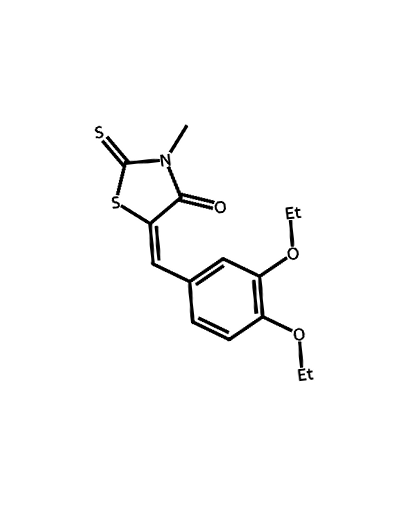 CCOc1ccc(C=C2SC(=S)N(C)C2=O)cc1OCC